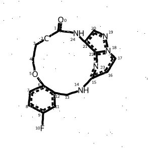 O=C1CCCOc2ccc(F)cc2CNc2ccn3ncc(c3n2)N1